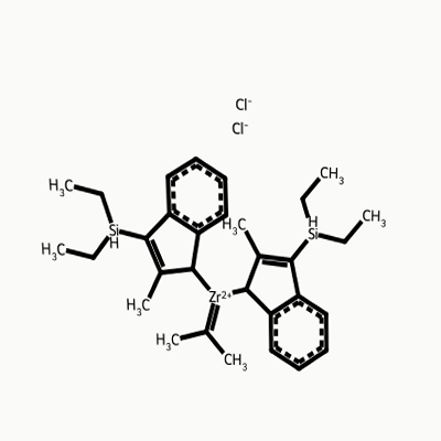 CC[SiH](CC)C1=C(C)[CH]([Zr+2](=[C](C)C)[CH]2C(C)=C([SiH](CC)CC)c3ccccc32)c2ccccc21.[Cl-].[Cl-]